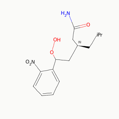 CC(C)C[C@H](CC(N)=O)CC(OO)c1ccccc1[N+](=O)[O-]